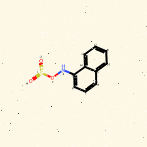 O=[SH](=O)ONc1cccc2ccccc12